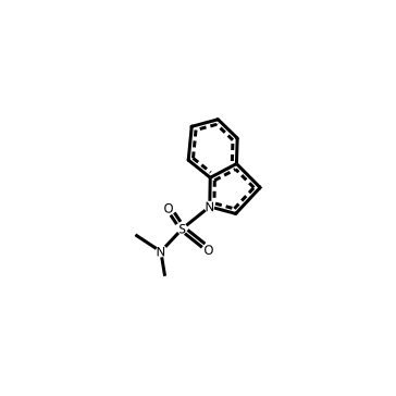 CN(C)S(=O)(=O)n1ccc2ccccc21